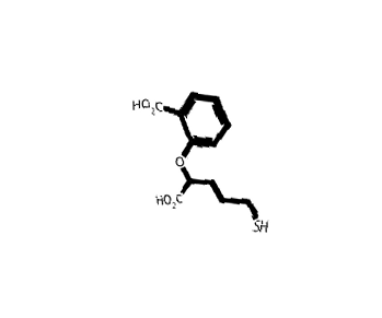 O=C(O)c1ccccc1OC(CCCS)C(=O)O